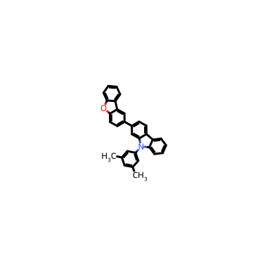 Cc1cc(C)cc(-n2c3ccccc3c3ccc(-c4ccc5oc6ccccc6c5c4)cc32)c1